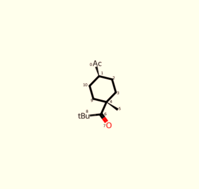 CC(=O)[C@H]1CC[C@](C)(C(=O)C(C)(C)C)CC1